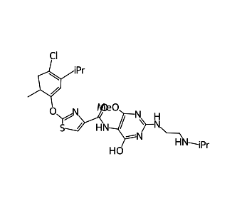 COc1nc(NCCNC(C)C)nc(O)c1NC(=O)c1csc(OC2=CC(C(C)C)=C(Cl)CC2C)n1